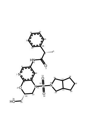 C[C@H](C(=O)Nc1cnc2c(c1)N(S(=O)(=O)N1CC3CCCC3C1)C[C@H](CO)O2)c1ccccc1